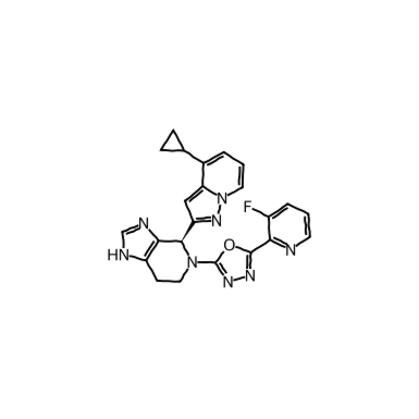 Fc1cccnc1-c1nnc(N2CCc3[nH]cnc3[C@H]2c2cc3c(C4CC4)cccn3n2)o1